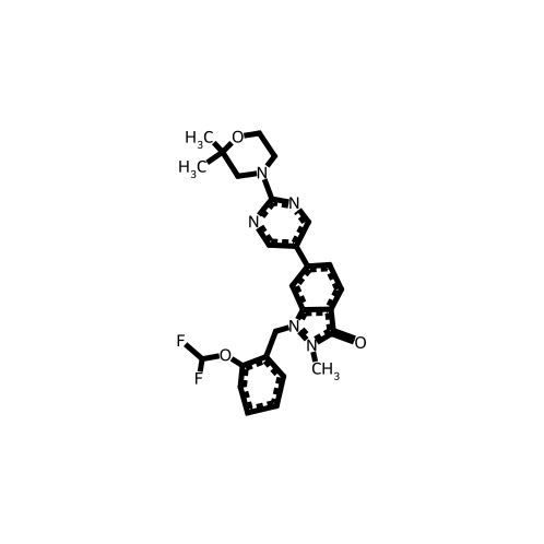 Cn1c(=O)c2ccc(-c3cnc(N4CCOC(C)(C)C4)nc3)cc2n1Cc1ccccc1OC(F)F